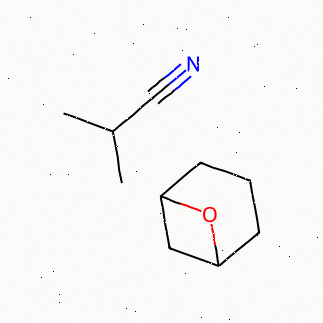 C1CC2CC(C1)O2.CC(C)C#N